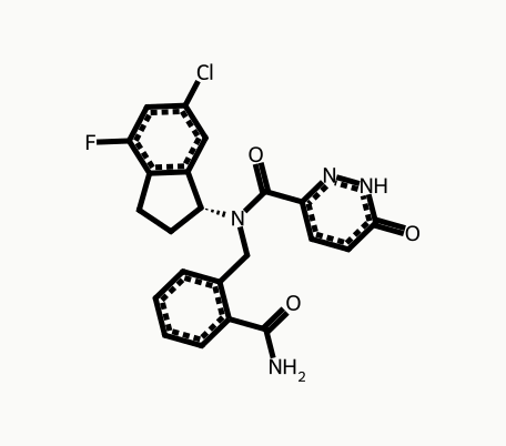 NC(=O)c1ccccc1CN(C(=O)c1ccc(=O)[nH]n1)[C@@H]1CCc2c(F)cc(Cl)cc21